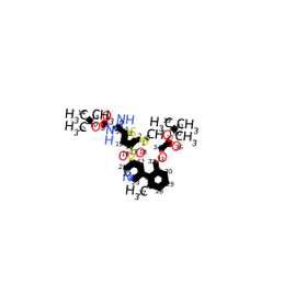 CSc1sc(C(=N)NC(=O)OC(C)(C)C)cc1S(=O)(=O)c1cncc(-c2c(C)cccc2COCC(=O)OC(C)(C)C)c1